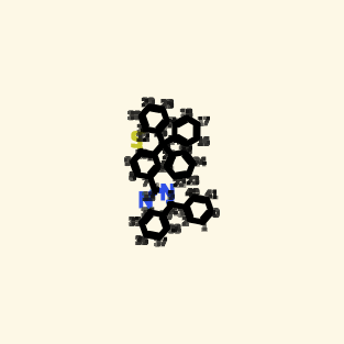 c1ccc(-c2nc(-c3ccc4c(c3)C(c3ccccc3)(c3ccccc3)c3ccccc3S4)nc3ccccc23)cc1